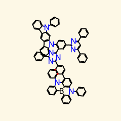 c1ccc(-c2cc(-c3ccccc3)nc(-c3ccc(-n4c5ccccc5c5cc6c7ccccc7n(-c7ccccc7)c6cc54)c(-c4nc(-c5ccccc5)nc(-c5ccc(-c6ccc7c8c6N(c6ccccc6)c6ccccc6B8c6ccccc6N7c6ccccc6)cc5)n4)c3)n2)cc1